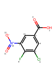 O=C(O)c1cc(Cl)c(F)c([N+](=O)[O-])c1